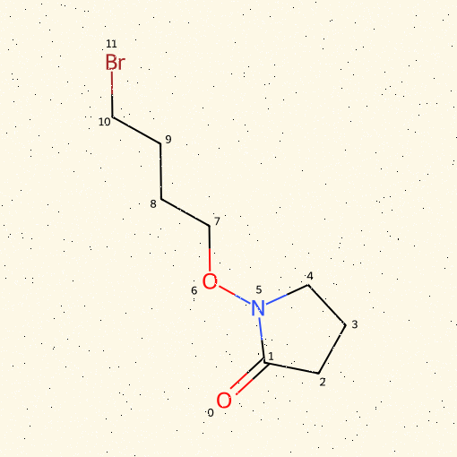 O=C1CCCN1OCCCCBr